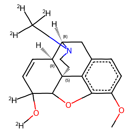 [2H]OC1([2H])C=C[C@H]2[C@H]3Cc4ccc(OC)c5c4[C@@]2(CCN3C([2H])([2H])[2H])C1O5